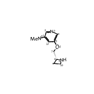 CNc1cncc(OC[C@H]2CCN2)c1